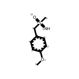 COc1ccc(CS(C)(=N)=O)cc1